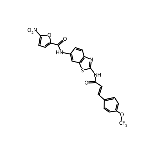 O=C(/C=C/c1ccc(OC(F)(F)F)cc1)Nc1nc2ccc(NC(=O)c3ccc([N+](=O)[O-])o3)cc2s1